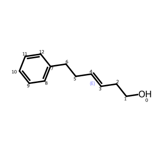 OCC/C=C/CCc1ccccc1